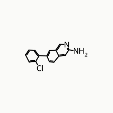 Nc1cc2ccc(-c3ccccc3Cl)cc2cn1